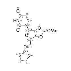 COC1OC2C(O1)[C@@H](COP1SCCS1)O[C@H]2n1ccc(=O)[nH]c1=O